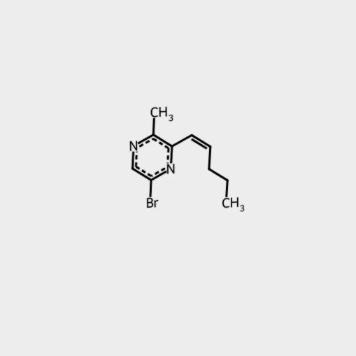 CCC/C=C\c1nc(Br)cnc1C